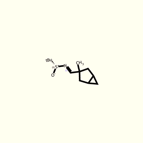 CC1(/C=N/[S@+]([O-])C(C)(C)C)CC2CC2C1